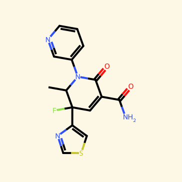 CC1N(c2cccnc2)C(=O)C(C(N)=O)=CC1(F)c1cscn1